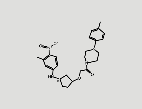 Cc1ccc(N2CCN(C(=O)COC3CC[C@@H](Nc4ccc([N+](=O)[O-])c(C)c4)C3)CC2)cc1